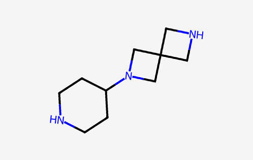 C1CC(N2CC3(CNC3)C2)CCN1